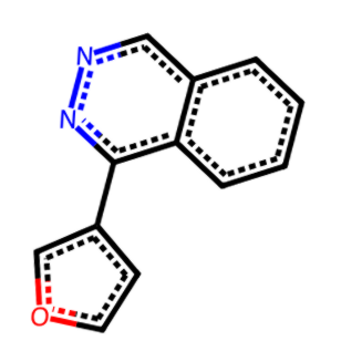 c1ccc2c(-c3ccoc3)nncc2c1